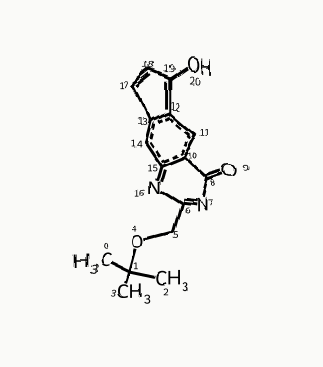 CC(C)(C)OCC1=NC(=O)c2cc3c(cc2=N1)C=CC=3O